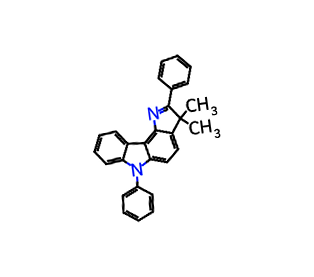 CC1(C)C(c2ccccc2)=Nc2c1ccc1c2c2ccccc2n1-c1ccccc1